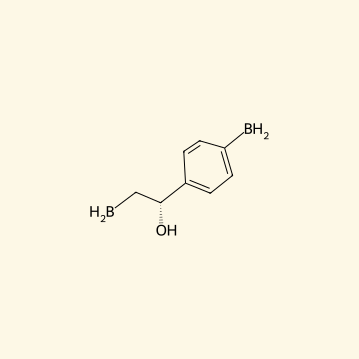 BC[C@@H](O)c1ccc(B)cc1